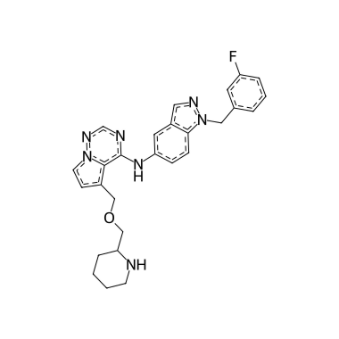 Fc1cccc(Cn2ncc3cc(Nc4ncnn5ccc(COCC6CCCCN6)c45)ccc32)c1